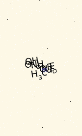 C/C(=N\OCc1ccc(CNCCC(=O)O)cc1)C1=CC=C(C2CCCCC2)C(C(F)(F)F)C1